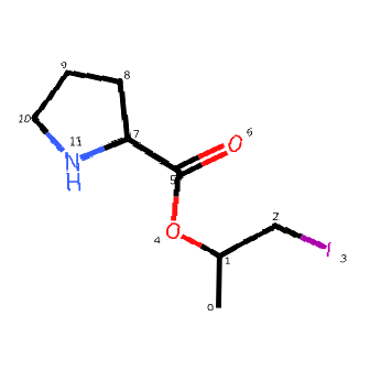 CC(CI)OC(=O)C1CCCN1